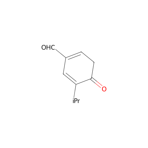 CC(C)C1=CC(C=O)=CCC1=O